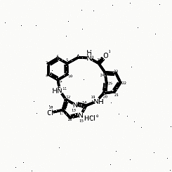 Cl.O=C1NCc2cccc(c2)Nc2nc(ncc2Cl)Nc2cccc1c2